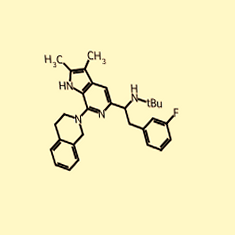 Cc1[nH]c2c(N3CCc4ccccc4C3)nc(C(Cc3cccc(F)c3)NC(C)(C)C)cc2c1C